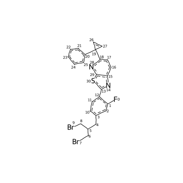 Fc1cc(CC(CBr)CBr)ccc1-c1nc2ccc(C3(c4ccccc4)C=C3)nc2s1